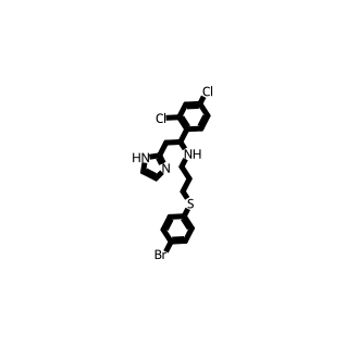 Clc1ccc(C(Cc2ncc[nH]2)NCCCSc2ccc(Br)cc2)c(Cl)c1